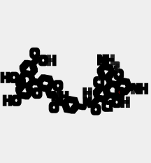 N=c1ccc2c(-c3c(Cl)cc(C(=O)NCc4ccc(C(=O)NCc5c6oc7cc(O)ccc7c(-c7cc(C(=O)O)ccc7C(=O)O)c-6ccc5=O)cc4)c(Cl)c3C(=O)O)c3ccc(N)cc3oc-2c1